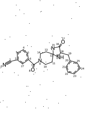 N#Cc1cccc(C(=O)N2CCC3(CC2)[N]C(=O)C(Cc2ccccc2)N3)c1